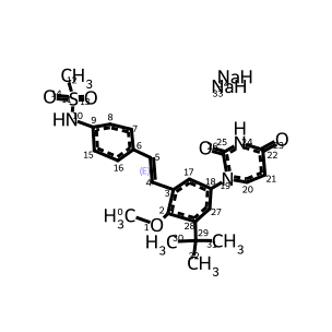 COc1c(/C=C/c2ccc(NS(C)(=O)=O)cc2)cc(-n2ccc(=O)[nH]c2=O)cc1C(C)(C)C.[NaH].[NaH]